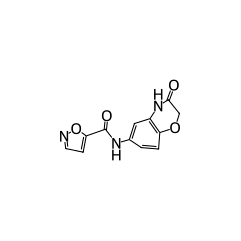 O=C1COc2ccc(NC(=O)c3ccno3)cc2N1